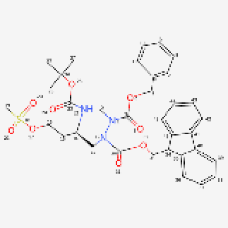 CN(C(=O)OCc1ccccc1)N(C[C@@H](CCOS(C)(=O)=O)NC(=O)OC(C)(C)C)C(=O)OCC1c2ccccc2-c2ccccc21